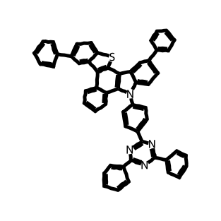 c1ccc(-c2ccc3sc4c(c3c2)c2ccccc2c2c4c3cc(-c4ccccc4)ccc3n2-c2ccc(-c3nc(-c4ccccc4)nc(-c4ccccc4)n3)cc2)cc1